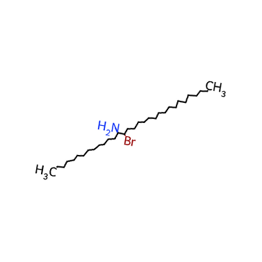 CCCCCCCCCCCCCCCCCC(Br)C(N)CCCCCCCCCCCCC